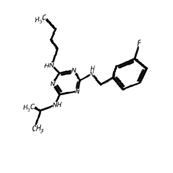 CCCCNc1nc(NCc2cccc(F)c2)nc(NC(C)C)n1